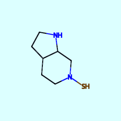 SN1CCC2CCNC2C1